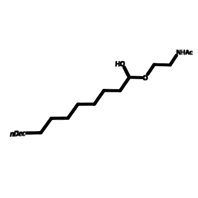 [CH2]C(=O)NCCOC(O)CCCCCCCCCCCCCCCCC